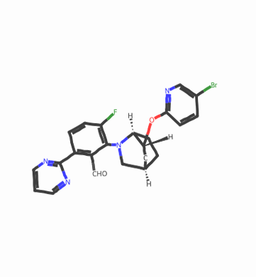 O=Cc1c(-c2ncccn2)ccc(F)c1N1C[C@@H]2CC[C@H]1[C@H](Oc1ccc(Br)cn1)C2